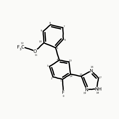 Fc1ccc(-c2ccccc2OC(F)(F)F)cc1-c1nc[nH]n1